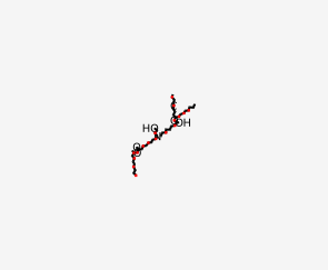 CCCCCCCCC(C)OC(=O)CCCCCCCN(CCO)CCCCCCCC(O)OC(CCCCCCCC)CCCCCCCC